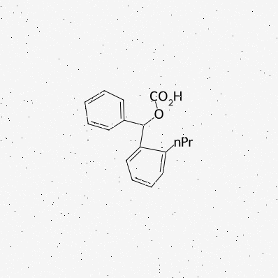 CCCc1ccccc1C(OC(=O)O)c1ccccc1